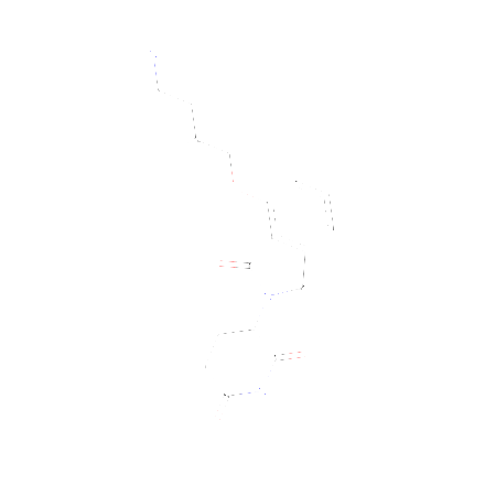 NCCC(=O)COc1cccc2c1C(=O)N(C1CCC(=O)NC1=O)C2=O